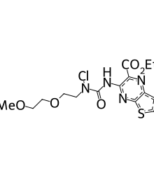 CCOC(=O)c1nc2ccsc2nc1NC(=O)N(Cl)CCOCCOC